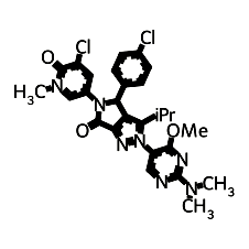 COc1nc(N(C)C)ncc1-n1nc2c(c1C(C)C)C(c1ccc(Cl)cc1)N(c1cc(Cl)c(=O)n(C)c1)C2=O